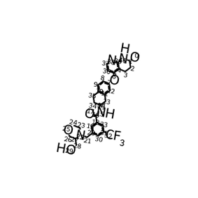 O=C1CCc2c(Oc3ccc4c(c3)C[C@H](NC(=O)c3cc(CN5CCOCC5CO)cc(C(F)(F)F)c3)CC4)ccnc2N1